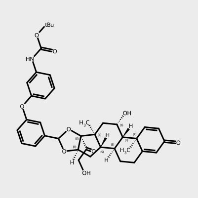 CC(C)(C)OC(=O)Nc1cccc(Oc2cccc(C3O[C@@H]4C[C@H]5[C@@H]6CCC7=CC(=O)C=C[C@]7(C)[C@H]6[C@@H](O)C[C@]5(C)[C@]4(C(=O)CO)O3)c2)c1